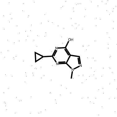 Cn1ncc2c(O)nc(C3CC3)nc21